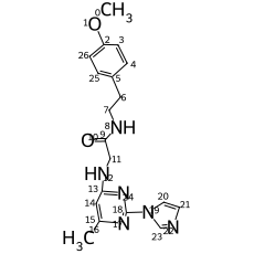 COc1ccc(CCNC(=O)CNc2cc(C)nc(-n3ccnc3)n2)cc1